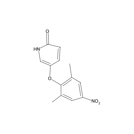 Cc1cc([N+](=O)[O-])cc(C)c1Oc1ccc(=O)[nH]c1